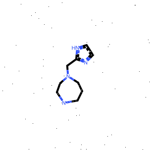 c1c[nH]c(CN2CCC[N]CC2)n1